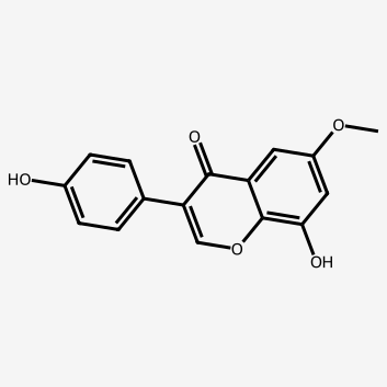 COc1cc(O)c2occ(-c3ccc(O)cc3)c(=O)c2c1